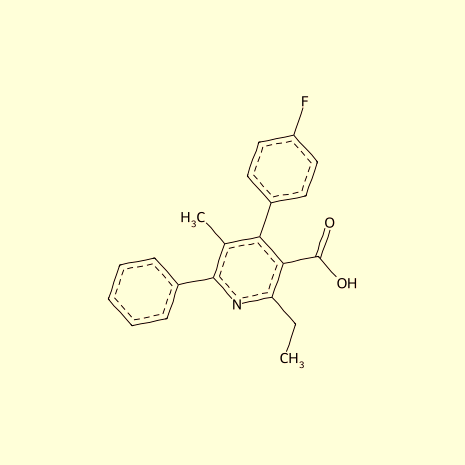 CCc1nc(-c2ccccc2)c(C)c(-c2ccc(F)cc2)c1C(=O)O